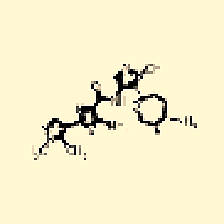 Cc1c(-c2nc(C(=O)Nc3cnn(C)c3[C@@H]3CC[C@@H](N)[C@@H](F)CO3)c(N)s2)cnn1C